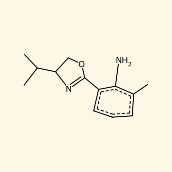 Cc1cccc(C2=NC(C(C)C)CO2)c1N